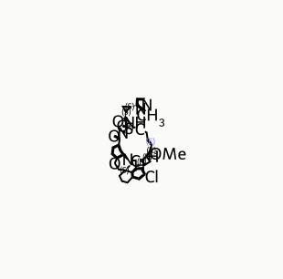 CO[C@H]1/C=C/CCC[S@@](=O)(NC(=O)[C@H]2C[C@@H]2c2ccnn2C)=NC(=O)c2ccc3c(c2)N(C[C@@H]2CC[C@H]21)C[C@@]1(CCCc2cc(Cl)ccc21)CO3